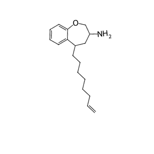 C=CCCCCCCC1CC(N)COc2ccccc21